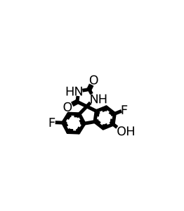 O=C1NC(=O)C2(N1)c1cc(F)ccc1-c1cc(O)c(F)cc12